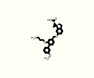 CCCCOc1cc(COc2ccc3c(c2)[C@]2(CC3)C[C@H]2C(=O)O)ccc1-c1cccc(OC)c1